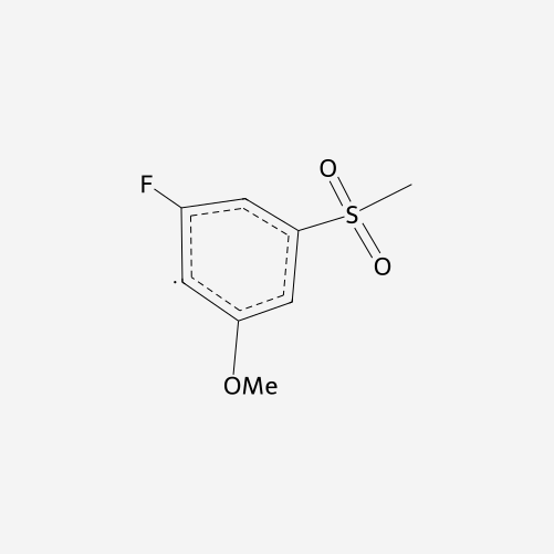 COc1[c]c(F)cc(S(C)(=O)=O)c1